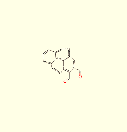 O=Cc1cc2ccc3cccc4ccc(c1C=O)c2c34